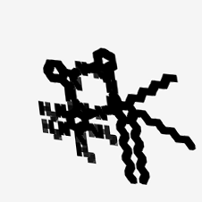 CCCCCCCCc1c(CCCCCCCC)c(CCCCCCCC)c2c(c1CCCCCCCC)-c1nc-2nc2[nH]c(nc3nc(nc4[nH]c(n1)c1ccccc41)-c1ccccc1-3)c1c(N)c(N)c(N)c(N)c21